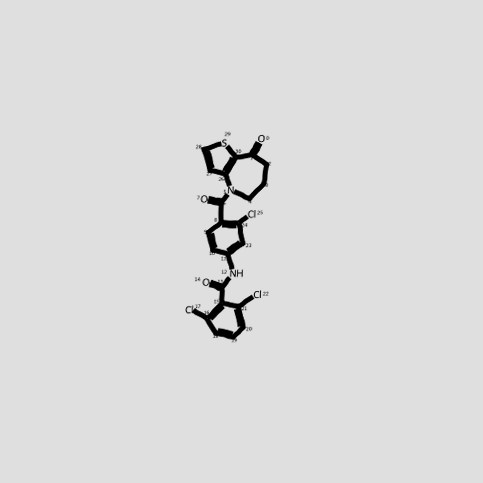 O=C1CCCN(C(=O)c2ccc(NC(=O)c3c(Cl)cccc3Cl)cc2Cl)c2ccsc21